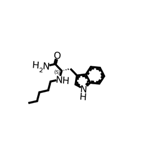 CCCCCN[C@@H](Cc1c[nH]c2ccccc12)C(N)=O